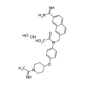 CC(=N)N1CCC(Oc2ccc(N(Cc3ccc4ccc(C(=N)N)cc4c3)C(=O)C(=O)O)cc2)CC1.Cl.Cl